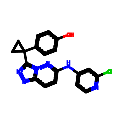 Oc1ccc(C2(c3nnc4ccc(Nc5ccnc(Cl)c5)nn34)CC2)cc1